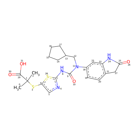 CC(C)(Sc1cnc(NC(=O)N(CC2CCCC2)c2ccc3c(c2)NC(=O)C3)s1)C(=O)O